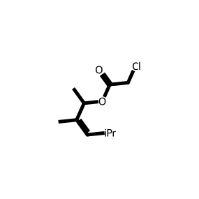 CC(=CC(C)C)C(C)OC(=O)CCl